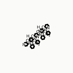 Cc1cnccc1N(c1ccccc1)c1cccc(N(c2ccccc2)c2nc(N(c3ccccc3)c3nccc(N(c4ccccc4)c4ncccc4C)c3C)c(C)cc2C)c1C